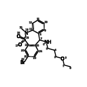 CCOCCCNC1c2ccccc2N(C)S(=O)(=O)c2cc(Br)ccc21